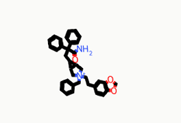 NC(=O)C(CC1C2C[N+](CCc3ccc4c(c3)OCO4)(Cc3ccccc3)CC12)(c1ccccc1)c1ccccc1